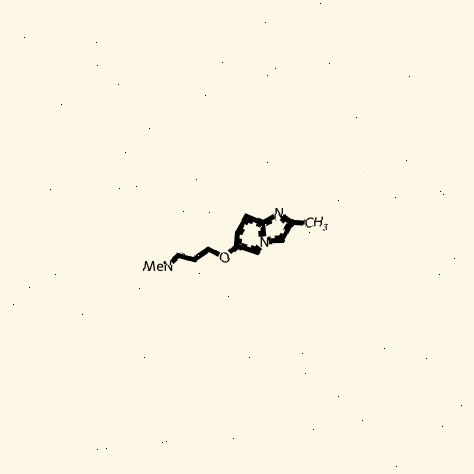 CNCCCOc1ccc2nc(C)cn2c1